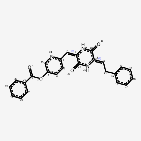 O=C(Oc1ccc(/C=c2/[nH]c(=O)/c(=C/Cc3ccccc3)[nH]c2=O)nc1)c1ccccc1